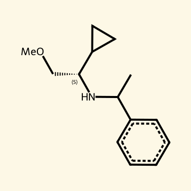 COC[C@@H](NC(C)c1ccccc1)C1CC1